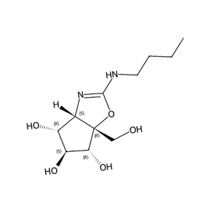 CCCCNC1=N[C@H]2[C@@H](O)[C@H](O)[C@@H](O)[C@@]2(CO)O1